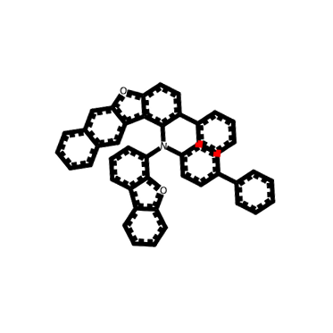 c1ccc(-c2ccc(N(c3cccc4c3oc3ccccc34)c3c(-c4ccccc4)ccc4oc5cc6ccccc6cc5c34)cc2)cc1